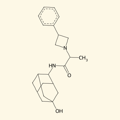 CC(C(=O)NC1C2CC3CC1CC(O)(C3)C2)N1CC(c2ccccc2)C1